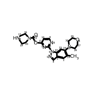 Cc1cc2cnn(-c3nccc(OC(=O)N4CCNCC4)n3)c2cc1N1CCOCC1